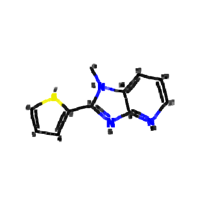 Cn1c(-c2cccs2)nc2ncccc21